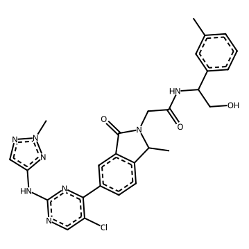 Cc1cccc(C(CO)NC(=O)CN2C(=O)c3cc(-c4nc(Nc5cnn(C)n5)ncc4Cl)ccc3C2C)c1